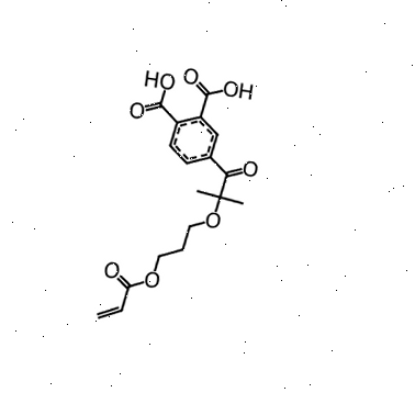 C=CC(=O)OCCCOC(C)(C)C(=O)c1ccc(C(=O)O)c(C(=O)O)c1